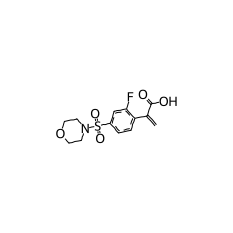 C=C(C(=O)O)c1ccc(S(=O)(=O)N2CCOCC2)cc1F